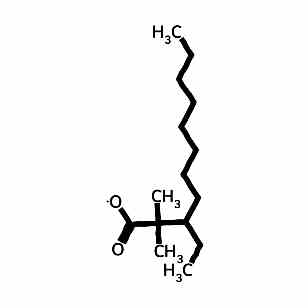 CCCCCCCCC(CC)C(C)(C)C([O])=O